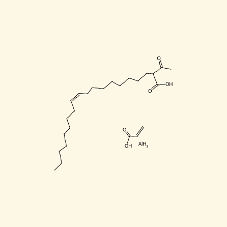 C=CC(=O)O.CCCCCCCC/C=C\CCCCCCCCC(C(C)=O)C(=O)O.[AlH3]